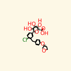 O=C(O)[C@H]1O[C@@H](c2ccc(Cl)c(Cc3ccc(O[C@H]4CCOC4)cc3)c2)[C@H](O)[C@@H](O)[C@@H]1O